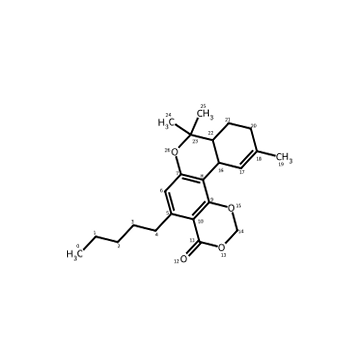 CCCCCc1cc2c(c3c1C(=O)OCO3)C1C=C(C)CCC1C(C)(C)O2